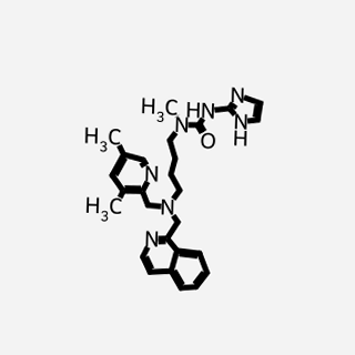 Cc1cnc(CN(CCCCN(C)C(=O)Nc2ncc[nH]2)Cc2nccc3ccccc23)c(C)c1